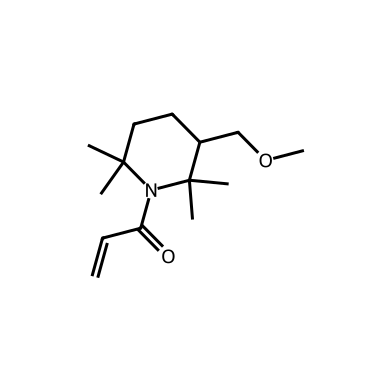 C=CC(=O)N1C(C)(C)CCC(COC)C1(C)C